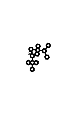 c1ccc(-c2cc(-c3ccccc3)cc(-c3c4ccccc4c(-c4cccc5sc6cc(-c7c8ccccc8c(-c8ccccc8)c8ccccc78)ccc6c45)c4ccccc34)c2)cc1